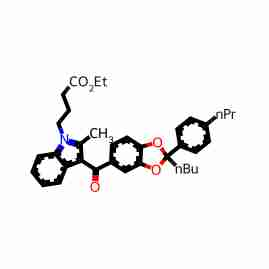 CCCCC1(c2ccc(CCC)cc2)Oc2ccc(C(=O)c3c(C)n(CCCC(=O)OCC)c4ccccc34)cc2O1